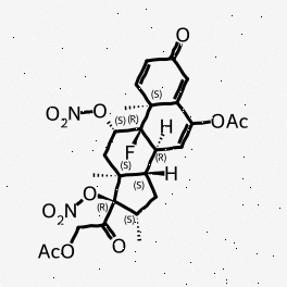 CC(=O)OCC(=O)[C@@]1(O[N+](=O)[O-])[C@@H](C)C[C@H]2[C@@H]3C=C(OC(C)=O)C4=CC(=O)C=C[C@]4(C)[C@@]3(F)[C@@H](O[N+](=O)[O-])C[C@@]21C